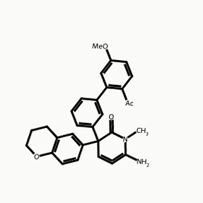 COc1ccc(C(C)=O)c(-c2cccc(C3(c4ccc5c(c4)CCCO5)C=C=C(N)N(C)C3=O)c2)c1